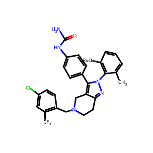 Cc1cccc(OCC(C)C)c1-n1nc2c(c1-c1ccc(NC(N)=O)cc1)CN(Cc1ccc(Cl)cc1C(F)(F)F)CC2